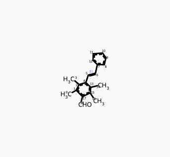 Cc1c(C)c(/C=C/c2ccccc2)c(C)c(C)c1C=O